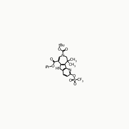 CC(C)OC(=O)C1=CN(C(=O)OC(C)(C)C)CC(C)(C)c2c1[nH]c1ccc(OS(=O)(=O)C(F)(F)F)nc21